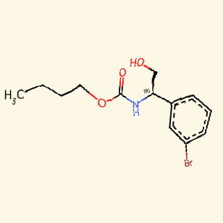 CCCCOC(=O)N[C@@H](CO)c1cccc(Br)c1